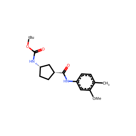 COc1cc(NC(=O)[C@@H]2CC[C@H](NC(=O)OC(C)(C)C)C2)ccc1C